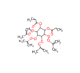 C=CC(=O)OC1C(OOC(=C)C)C(OOC(=C)C)C(OOC(=C)C)C(OOC(=C)C)C1OC(=O)C=C